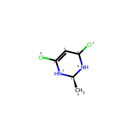 C[C@H]1NC(Cl)=CC(Cl)N1